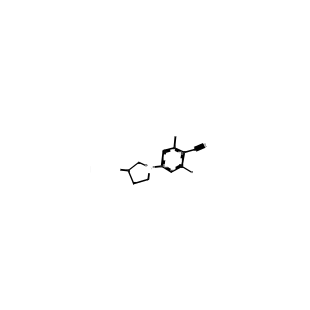 C#Cc1c(F)cc(N2CCC(C(=O)O)C2)cc1F